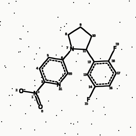 O=[N+]([O-])c1ccc(N2CCCC2c2cc(F)ccc2F)cn1